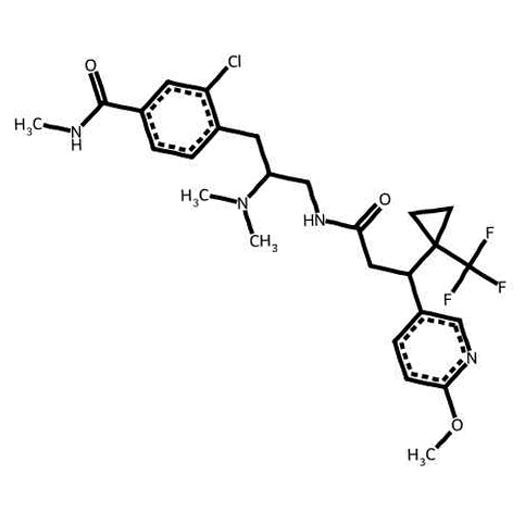 CNC(=O)c1ccc(CC(CNC(=O)CC(c2ccc(OC)nc2)C2(C(F)(F)F)CC2)N(C)C)c(Cl)c1